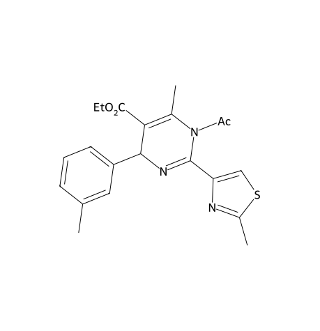 CCOC(=O)C1=C(C)N(C(C)=O)C(c2csc(C)n2)=NC1c1cccc(C)c1